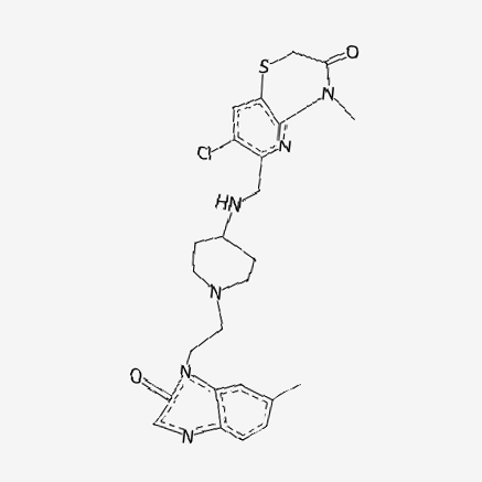 Cc1ccc2ncc(=O)n(CCN3CCC(NCc4nc5c(cc4Cl)SCC(=O)N5C)CC3)c2c1